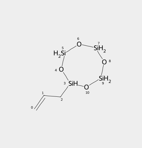 C=CC[SiH]1O[SiH2]O[SiH2]O[SiH2]O1